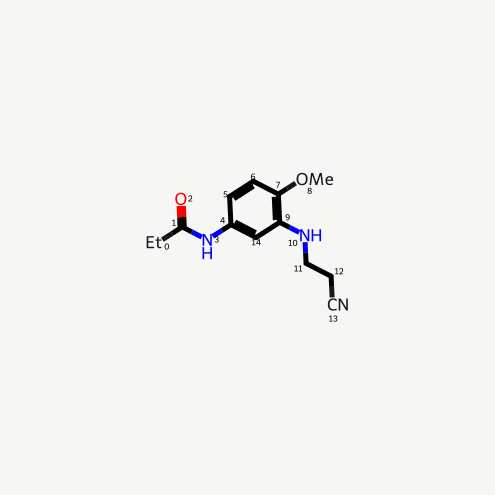 CCC(=O)Nc1ccc(OC)c(NCCC#N)c1